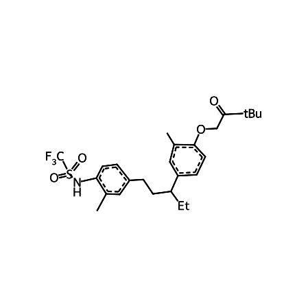 CCC(CCc1ccc(NS(=O)(=O)C(F)(F)F)c(C)c1)c1ccc(OCC(=O)C(C)(C)C)c(C)c1